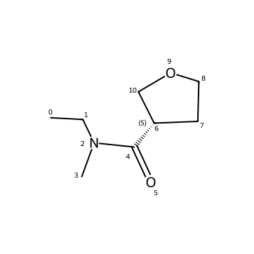 CCN(C)C(=O)[C@H]1CCOC1